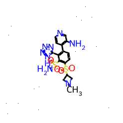 CN1CC(S(=O)(=O)c2ccc(-c3ccncc3N)c(-c3nnn[nH]3)c2S(N)(=O)=O)C1